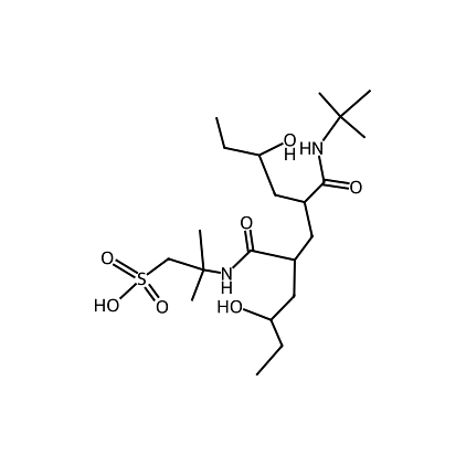 CCC(O)CC(CC(CC(O)CC)C(=O)NC(C)(C)CS(=O)(=O)O)C(=O)NC(C)(C)C